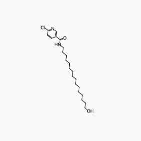 O=C(NCCCCCCCCCCCCCCCCO)c1ccc(Cl)nc1